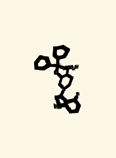 CC(C)(C)[Si](OC1CN(c2n[nH]c3cccc(F)c23)CCC1C(=O)O)(c1ccccc1)c1ccccc1